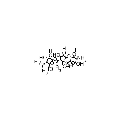 CC(C)[C@@H]1C(CO)O[C@H](OC(C)[C@@H]2C(CO)O[C@H](O[C@@H]3C(CO)OC(O)[C@@H](N)C3O)[C@@H](O)C2O)[C@@H](O)C1O